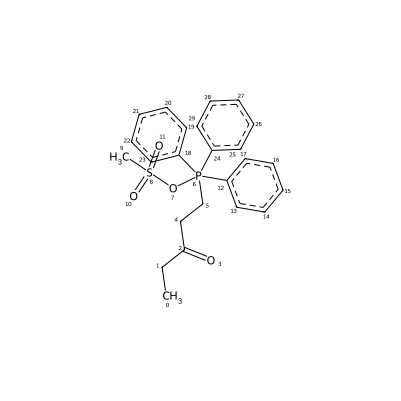 CCC(=O)CCP(OS(C)(=O)=O)(c1ccccc1)(c1ccccc1)c1ccccc1